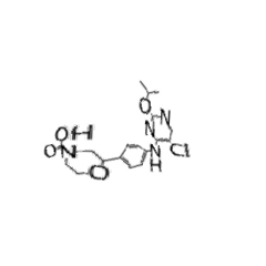 CC(C)Oc1ncc(Cl)c(Nc2ccc(C3CN(C(=O)O)CCO3)cc2)n1